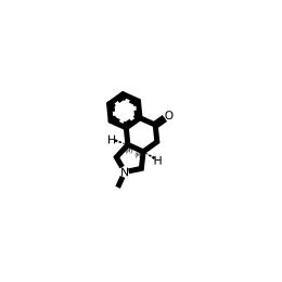 CN1C[C@@H]2CC(=O)c3ccccc3[C@@H]2C1